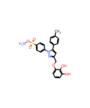 Cc1ccc(-c2cc(COc3cccc(O)c3O)nn2-c2ccc(S(=O)(=O)ON)cc2)cc1